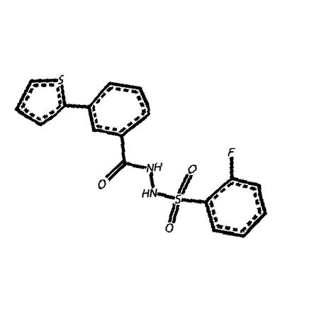 O=C(NNS(=O)(=O)c1ccccc1F)c1cccc(-c2cccs2)c1